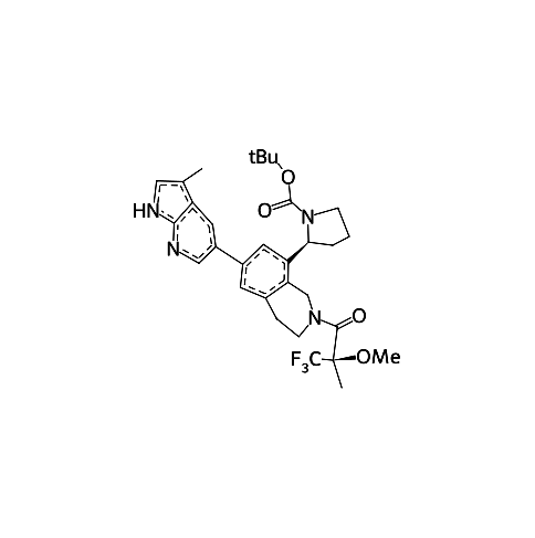 CO[C@](C)(C(=O)N1CCc2cc(-c3cnc4[nH]cc(C)c4c3)cc([C@@H]3CCCN3C(=O)OC(C)(C)C)c2C1)C(F)(F)F